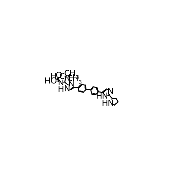 CC(C)(C)[C@H](NC(=O)O)c1ncc(-c2ccc(-c3ccc(-c4cnc(C5CCCN5)[nH]4)cc3)cc2)[nH]1